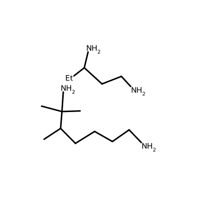 CC(CCCCN)C(C)(C)N.CCC(N)CCN